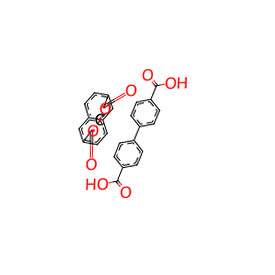 O=C(O)c1ccc(-c2ccc(C(=O)O)cc2)cc1.O=C1OCCOC(=O)c2ccc3cc1ccc3c2